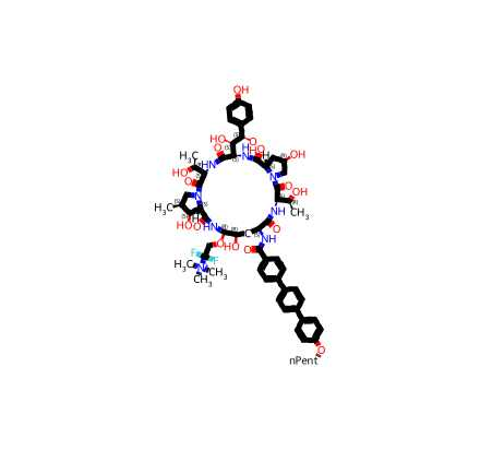 CCCCCOc1ccc(-c2ccc(-c3ccc(C(=O)N[C@H]4C[C@@H](O)[C@@H](OCC(F)(F)[N+](C)(C)C)NC(=O)[C@@H]5[C@@H](O)[C@@H](C)CN5C(=O)[C@H]([C@@H](C)O)NC(=O)[C@H]([C@H](O)[C@@H](O)c5ccc(O)cc5)NC(=O)[C@@H]5C[C@@H](O)CN5C(=O)[C@H]([C@@H](C)O)NC4=O)cc3)cc2)cc1